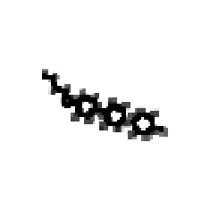 CCCCOc1ccc(C2=CCC([C@H]3CC[C@H](C)CC3)C=C2)cc1